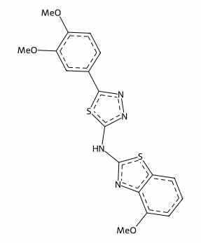 COc1ccc(-c2nnc(Nc3nc4c(OC)cccc4s3)s2)cc1OC